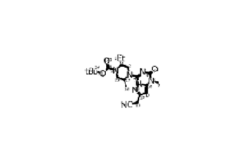 CC[C@@H]1CN(c2nc(=O)n(C)c3cc(CC#N)nn23)[C@@H](C)CN1C(=O)OC(C)(C)C